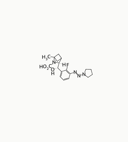 CC12CC(C1)[C@@H]([C@@H](O)c1cccc(/N=N/N3CCCC3)c1F)N2C(=O)O